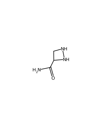 NC(=O)C1CNN1